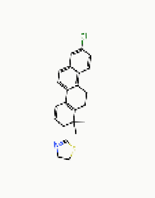 C1=NCCS1.CC1(C)CC=CC2=C1CCc1c2ccc2cc(Cl)ccc12